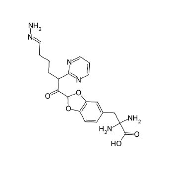 NN=CCCCC(C(=O)C1Oc2ccc(CC(N)(N)C(=O)O)cc2O1)c1ncccn1